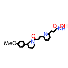 COc1ccc(C2CCCN(C(=O)/C=C/c3cccc(/C=C/C(=O)NO)n3)C2)cc1